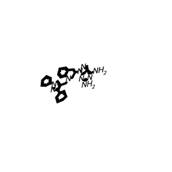 Nc1nc(N)c2cnn(C3Cc4ccccc4N(Cc4cn(-c5ccccc5)nc4-c4ccccc4)C3)c2n1